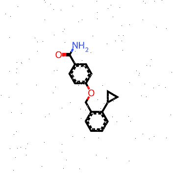 NC(=O)c1ccc(OCc2ccccc2C2CC2)cc1